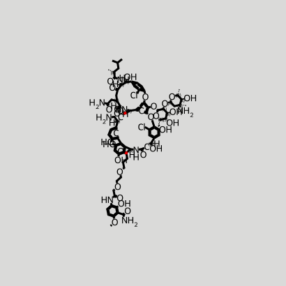 COc1ccc(NC(=O)COCCOCCCC(=O)[C@@H]2NC(=O)C[C@H](O)c3ccc(c(Cl)c3)Oc3cc4cc(c3OC3O[C@@H](CO)[C@@H](O)[C@H](O)[C@@H]3O[C@@H]3C[C@](C)(N)[C@H](O)[C@@H](C)O3)Oc3ccc(cc3Cl)[C@@H](O)[C@@H](NC(=O)[C@H](C)CC(C)C)C(=O)C[C@@H](CC(N)=O)C(=O)N[C@H]4C(=O)C[C@@H](C(N)=O)c3ccc(O)c(c3)-c3c(O)cc(O)cc32)c(O)c1C(N)=O